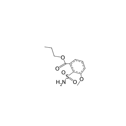 CCCOC(=O)c1cccc(OC)c1S(N)(=O)=O